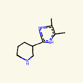 Cc1nc(C2CCCNC2)[nH]c1C